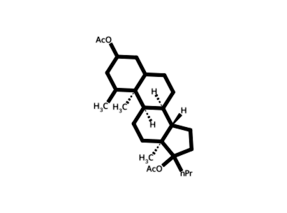 CCCC1(OC(C)=O)CC[C@H]2[C@@H]3CCC4CC(OC(C)=O)CC(C)[C@]4(C)[C@@H]3CC[C@@]21C